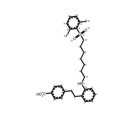 O=C(O)c1ccc(CCc2ccccc2NCCCCCCCS(=O)(=O)c2c(F)cccc2F)cc1